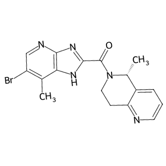 Cc1c(Br)cnc2nc(C(=O)N3CCc4ncccc4[C@H]3C)[nH]c12